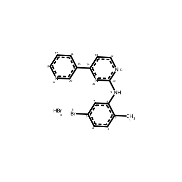 Br.Cc1ccc(Br)cc1Nc1nccc(-c2cccnc2)n1